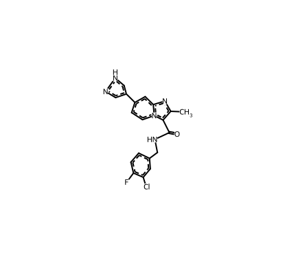 Cc1nc2cc(-c3cn[nH]c3)ccn2c1C(=O)NCc1ccc(F)c(Cl)c1